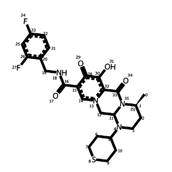 C[C@H]1CCN(C2CCSCC2)C2Cn3cc(C(=O)NCc4ccc(F)cc4F)c(=O)c(O)c3C(=O)N21